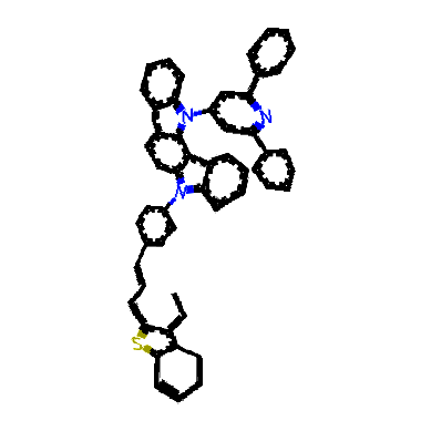 C/C=c1/c2c(s/c1=C/C=C/c1ccc(-n3c4ccccc4c4c3ccc3c5ccccc5n(-c5cc(-c6ccccc6)nc(-c6ccccc6)c5)c34)cc1)C=CCC2